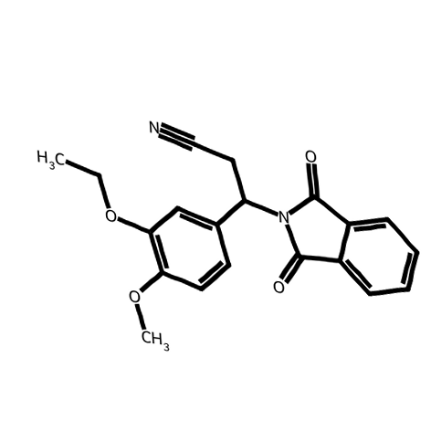 CCOc1cc(C(CC#N)N2C(=O)c3ccccc3C2=O)ccc1OC